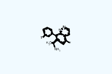 CC(N)c1cc(F)c2ccnnc2c1-c1cccc(F)c1